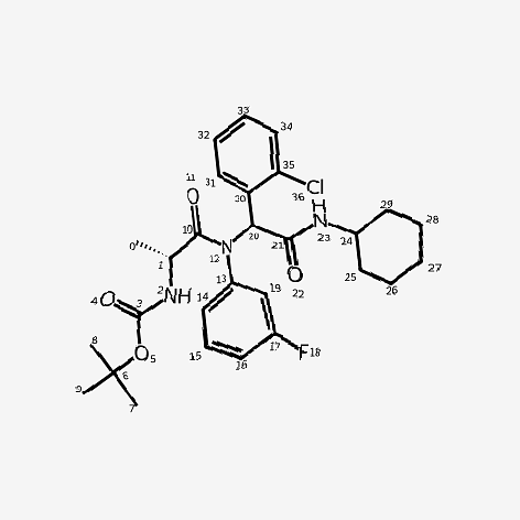 C[C@@H](NC(=O)OC(C)(C)C)C(=O)N(c1cccc(F)c1)C(C(=O)NC1CCCCC1)c1ccccc1Cl